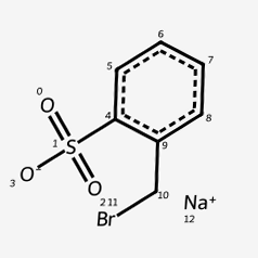 O=S(=O)([O-])c1ccccc1CBr.[Na+]